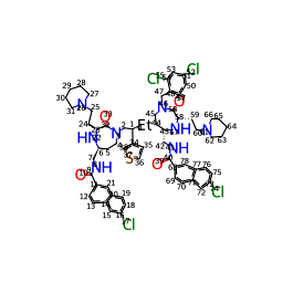 CCC(CN1CC[C@@H](CNC(=O)c2ccc3cc(Cl)ccc3c2)N[C@@H](CCN2CCCCC2)C1=O)c1ccsc1.O=C(NC[C@@H]1CCN(Cc2ccc(Cl)cc2Cl)C(=O)[C@H](CCN2CCCCC2)N1)c1ccc2cc(Cl)ccc2c1